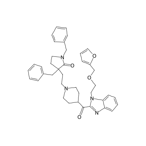 O=C(c1nc2ccccc2n1CCOCc1ccco1)C1CCN(CCC2(Cc3ccccc3)CCN(Cc3ccccc3)C2=O)CC1